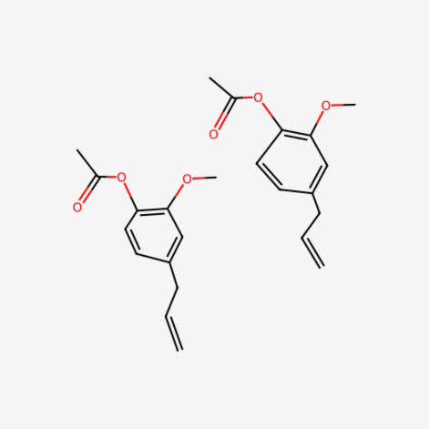 C=CCc1ccc(OC(C)=O)c(OC)c1.C=CCc1ccc(OC(C)=O)c(OC)c1